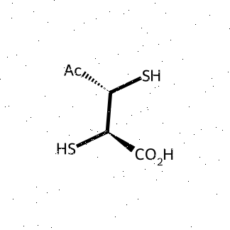 CC(=O)[C@H](S)[C@H](S)C(=O)O